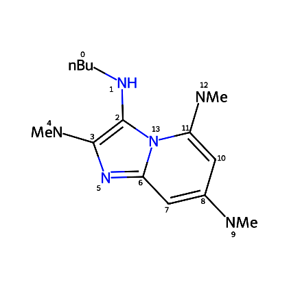 CCCCNc1c(NC)nc2cc(NC)cc(NC)n12